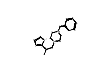 CC(CN1CCN(Cc2ccccc2)CC1)c1cccs1